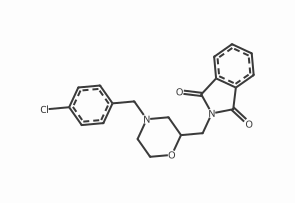 O=C1c2ccccc2C(=O)N1CC1CN(Cc2ccc(Cl)cc2)CCO1